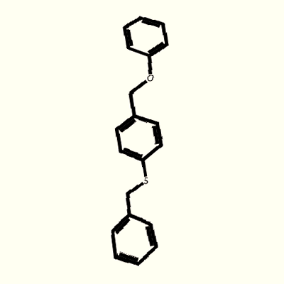 c1ccc(CSc2ccc(COc3ccccc3)cc2)cc1